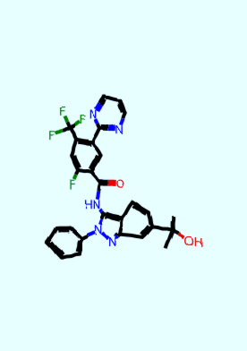 CC(C)(O)c1ccc2c(NC(=O)c3cc(-c4ncccn4)c(C(F)(F)F)cc3F)n(-c3ccccc3)nc2c1